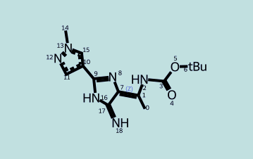 C/C(NC(=O)OC(C)(C)C)=C1/N=C(c2cnn(C)c2)NC1=N